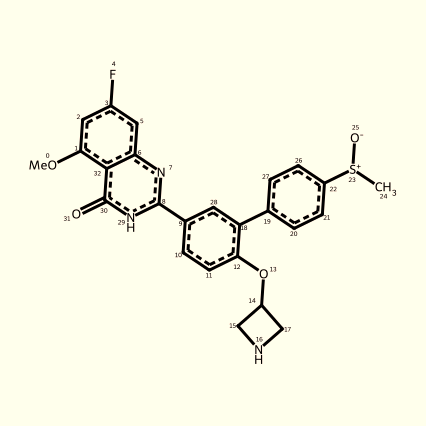 COc1cc(F)cc2nc(-c3ccc(OC4CNC4)c(-c4ccc([S+](C)[O-])cc4)c3)[nH]c(=O)c12